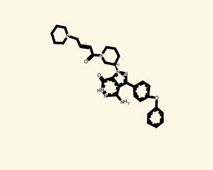 Nc1n[nH]c(=O)c2c1c(-c1ccc(Oc3ccccc3)cc1)nn2[C@@H]1CCCN(C(=O)/C=C/CN2CCCCC2)C1